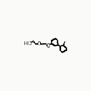 [CH2]c1ccccc1-c1cccc(OCCOCCO)c1